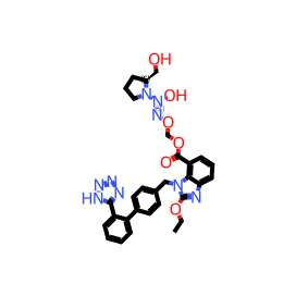 CCOc1nc2cccc(C(=O)OCO/N=[N+](\O)N3CCC[C@H]3CO)c2n1Cc1ccc(-c2ccccc2-c2nnn[nH]2)cc1